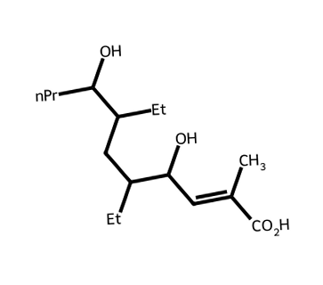 CCCC(O)C(CC)CC(CC)C(O)C=C(C)C(=O)O